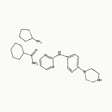 NC(=O)C1CCCCC1.NC1CCCC1.c1cnc(Nc2ccc(N3CCNCC3)cc2)nc1